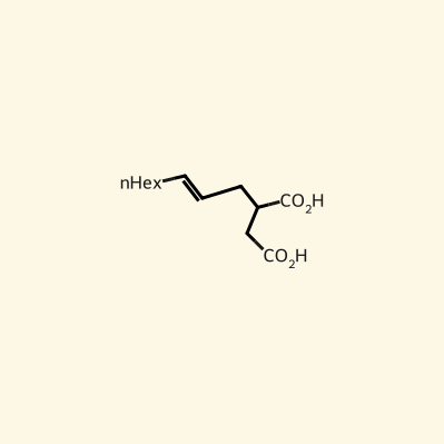 CCCCCCC=CCC(CC(=O)O)C(=O)O